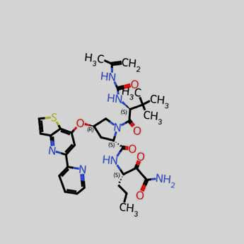 C=C(C)NC(=O)N[C@H](C(=O)N1C[C@H](Oc2cc(-c3ccccn3)nc3ccsc23)C[C@H]1C(=O)N[C@@H](CCC)C(=O)C(N)=O)C(C)(C)C